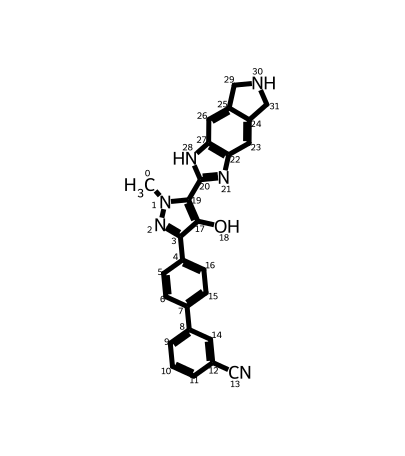 Cn1nc(-c2ccc(-c3cccc(C#N)c3)cc2)c(O)c1-c1nc2cc3c(cc2[nH]1)CNC3